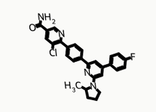 CC1CCCN1c1cc(-c2ccc(F)cc2)cc(-c2ccc(-c3ncc(C(N)=O)cc3Cl)cc2)n1